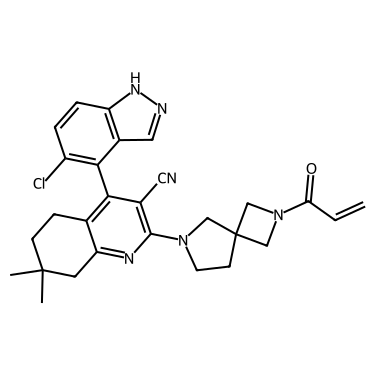 C=CC(=O)N1CC2(CCN(c3nc4c(c(-c5c(Cl)ccc6[nH]ncc56)c3C#N)CCC(C)(C)C4)C2)C1